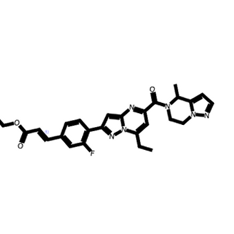 CCOC(=O)/C=C/c1ccc(-c2cc3nc(C(=O)N4CCn5nccc5C4C)cc(CC)n3n2)c(F)c1